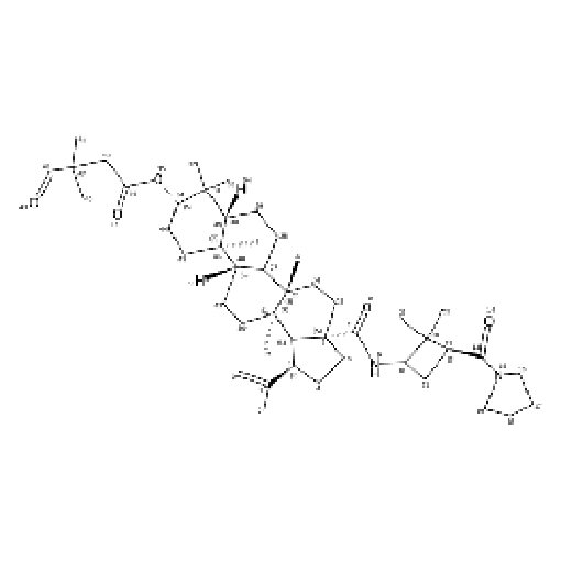 C=C(C)[C@@H]1CC[C@]2(C(=O)NC3C[C@H](C(=O)N4CCCC4)C3(C)C)CC[C@@]3(C)C4CC[C@H]5C(C)(C)[C@@H](OC(=O)CC(C)(C)C=O)CC[C@]5(C)[C@H]4CC[C@]3(C)C12